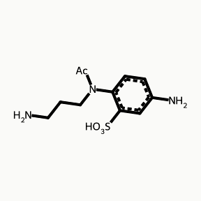 CC(=O)N(CCCN)c1ccc(N)cc1S(=O)(=O)O